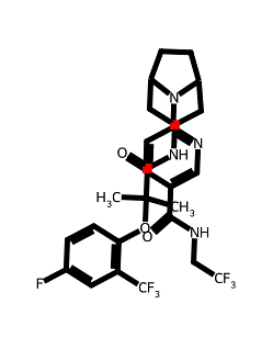 CC(C)(Oc1ccc(F)cc1C(F)(F)F)C(=O)NC1CC2CCC(C1)N2c1ccc(C(=O)NCC(F)(F)F)cn1